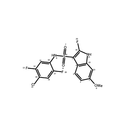 COc1ccc2c(S(=O)(=O)Nc3cc(F)c(Cl)cc3F)c(F)[nH]c2c1